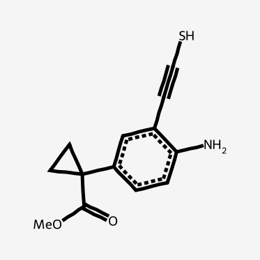 COC(=O)C1(c2ccc(N)c(C#CS)c2)CC1